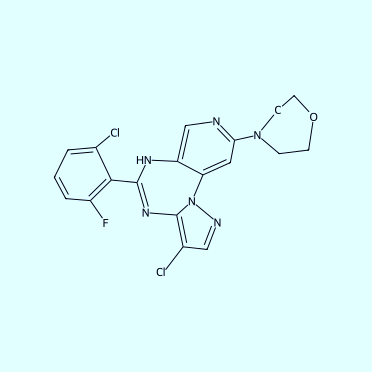 Fc1cccc(Cl)c1C1=Nc2c(Cl)cnn2-c2cc(N3CCOCC3)ncc2N1